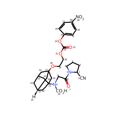 N#CC1CCCN1C(=O)CN(C(=O)O)C12CC3C[C@H](CC(OCCOC(=O)Oc4ccc([N+](=O)[O-])cc4)(C3)C1)C2